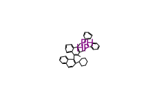 Cc1c(CPc2ccccc2)c(CPc2ccccc2)c2ccccc2c1-c1c(C2CCCCC2)ccc2ccccc12